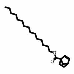 CCCCCCCCCCCCCCCOC(=O)C12C=CC(CC1)C2